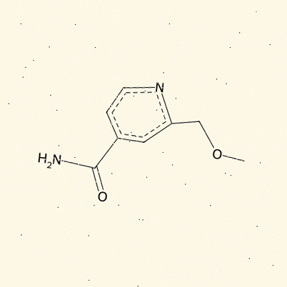 COCc1cc(C(N)=O)ccn1